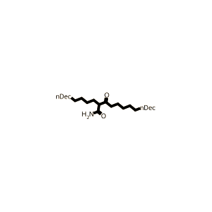 CCCCCCCCCCCCCCCC(=O)C(CCCCCCCCCCCCCC)C(N)=O